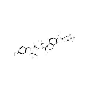 CC(N(Cc1ccc(F)cc1)C(=O)CN1C(=O)O[C@@]2(CCc3cc(NC(=O)CS(=O)(=O)N(C)C)ccc32)C1=O)C(F)(F)F